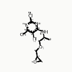 CC(COCC1CO1)Nc1nc(Cl)nc(Cl)c1Cl